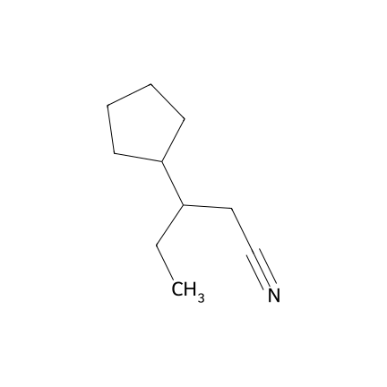 CCC(CC#N)C1CCCC1